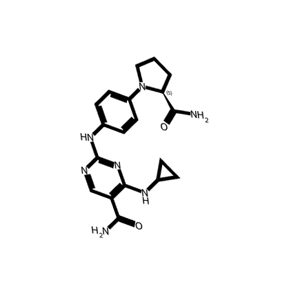 NC(=O)c1cnc(Nc2ccc(N3CCC[C@H]3C(N)=O)cc2)nc1NC1CC1